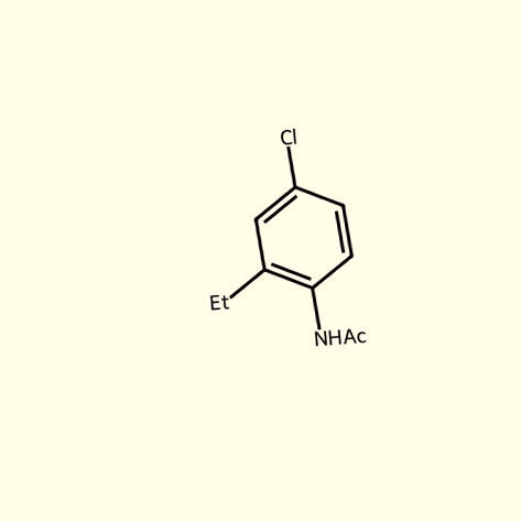 CCc1cc(Cl)ccc1NC(C)=O